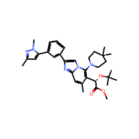 COC(=O)[C@@H](OC(C)(C)C)c1c(C)cc2nc(-c3cccc(-c4cc(C)nn4C)c3)cn2c1N1CCC(C)(C)CC1